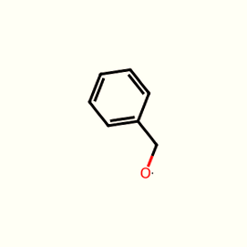 [O]Cc1ccccc1